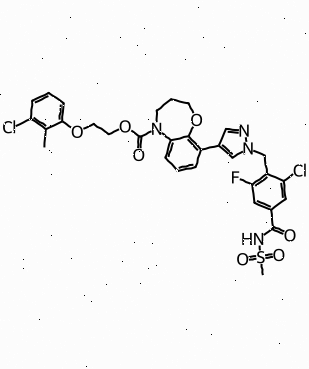 Cc1c(Cl)cccc1OCCOC(=O)N1CCCOc2c(-c3cnn(Cc4c(F)cc(C(=O)NS(C)(=O)=O)cc4Cl)c3)cccc21